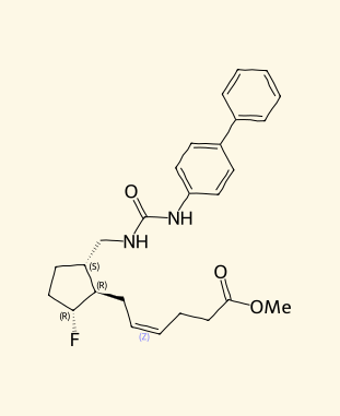 COC(=O)CC/C=C\C[C@@H]1[C@@H](CNC(=O)Nc2ccc(-c3ccccc3)cc2)CC[C@H]1F